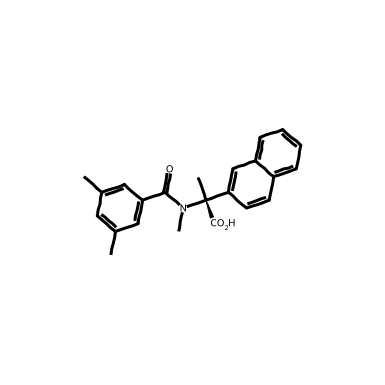 Cc1cc(C)cc(C(=O)N(C)[C@@](C)(C(=O)O)c2ccc3ccccc3c2)c1